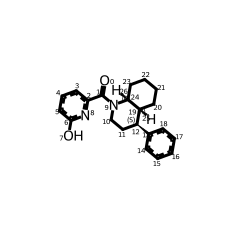 O=C(c1cccc(O)n1)N1CC[C@H](c2ccccc2)[C@H]2CCCC[C@H]21